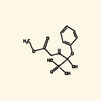 COC(=O)CNC(O)(Oc1ccccc1)P(=O)(O)O